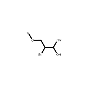 CCCC(O)C(CC)C[O][Ti]